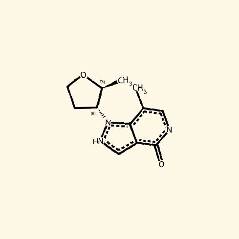 Cc1cnc(=O)c2c[nH]n([C@@H]3CCO[C@H]3C)c1-2